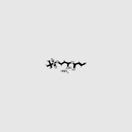 CC=CC(=O)OC(O)CCOS(=O)(=O)C(C)(C)C.N